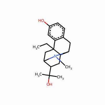 CCC12CC3C(C(C)(C)O)CC1C(Cc1ccc(O)cc12)N3C